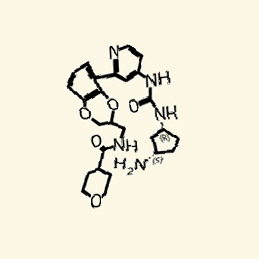 N[C@H]1CC[C@@H](NC(=O)Nc2ccnc(-c3cccc4c3OC(CNC(=O)C3CCOCC3)CO4)c2)C1